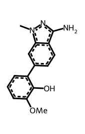 COc1cccc(-c2ccc3c(N)nn(C)c3c2)c1O